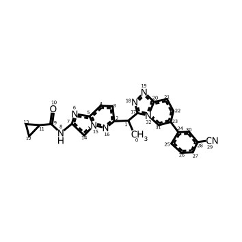 CC(c1ccc2nc(NC(=O)C3CC3)cn2n1)c1nnc2ccc(-c3cccc(C#N)c3)cn12